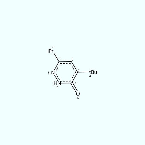 CC(C)c1cc(C(C)(C)C)c(=O)[nH]n1